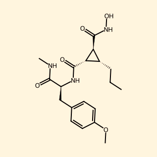 CCC[C@H]1[C@H](C(=O)NO)[C@H]1C(=O)N[C@@H](Cc1ccc(OC)cc1)C(=O)NC